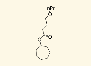 CCCOCCCC(=O)OC1CCCCCC1